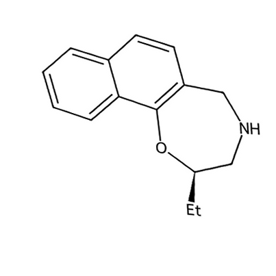 CC[C@@H]1CNCc2ccc3ccccc3c2O1